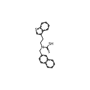 S=C(S)N(CCc1csc2ccccc12)Cc1ccc2ccccc2c1